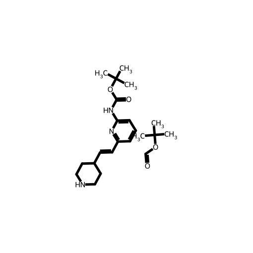 CC(C)(C)OC(=O)Nc1cccc(C=CC2CCNCC2)n1.CC(C)(C)OC=O